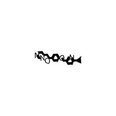 O=C(Cc1ccncn1)c1ccc(OCc2ccc(C3CC3)nc2)cc1